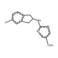 O=Cc1cnc(NC2Cc3ccc(F)cc3C2)nc1